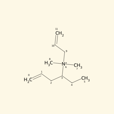 C=CCC(CC)[N+](C)(C)CC=C